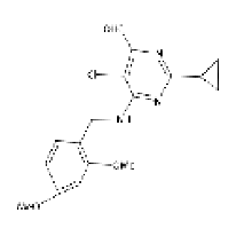 COc1ccc(CNc2nc(C3CC3)nc(C=O)c2Cl)c(OC)c1